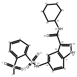 CS(=O)(=O)c1ccccc1S(=O)(=O)Nc1ccc2[nH]nc(C(=O)NC3CCCCC3)c2c1